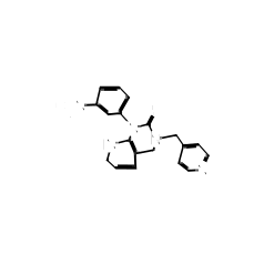 O=C1N(Cc2ccncc2)CC2=C(NCC=C2)N1c1cccc([N+](=O)[O-])c1